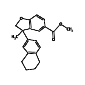 COC(=O)c1ccc2c(c1)C(C)(c1ccc3c(c1)CCCC3)CO2